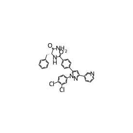 NC(=O)[C@@H](Cc1ccccc1)NC(=O)c1ccc(-c2cc(-c3cccnc3)nn2-c2ccc(Cl)c(Cl)c2)cc1